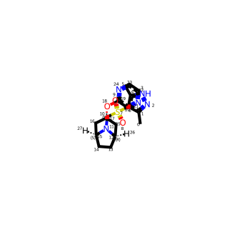 Cc1n[nH]c(C)c1S(=O)(=O)CN1[C@@H]2CC[C@H]1C[C@H](Oc1cnccn1)C2